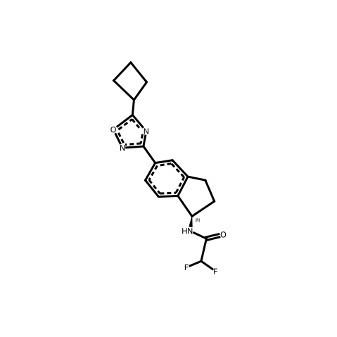 O=C(N[C@@H]1CCc2cc(-c3noc(C4CCC4)n3)ccc21)C(F)F